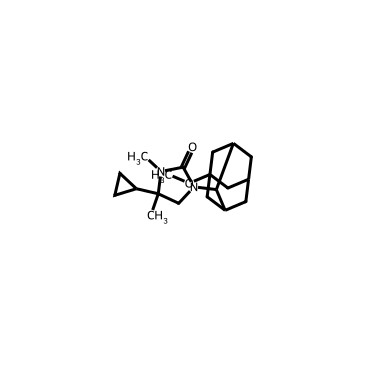 COC12CC3CC(C1)C(N1CC(C)(C4CC4)N(C)C1=O)C(C3)C2